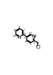 ClCc1ccc(-c2ccccn2)cn1